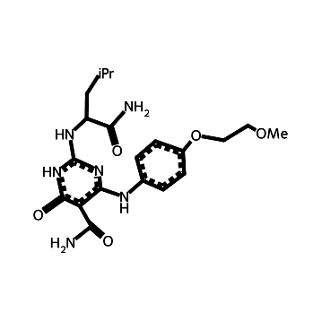 COCCOc1ccc(Nc2nc(NC(CC(C)C)C(N)=O)[nH]c(=O)c2C(N)=O)cc1